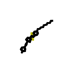 CCCCCCCCCCc1ccc2c(c1)sc1c3ccc(C#Cc4ccc(C)cc4)cc3sc21